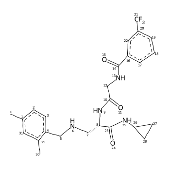 Cc1ccc(CNC[C@H](NC(=O)CNC(=O)c2cccc(C(F)(F)F)c2)C(=O)NC2CC2)c(C)c1